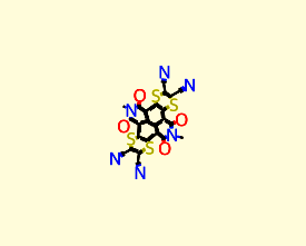 Cn1c(=O)c2c3sc(C#N)c(C#N)sc3c3c(=O)n(C)c(=O)c4c5sc(C#N)c(C#N)sc5c(c1=O)c2c34